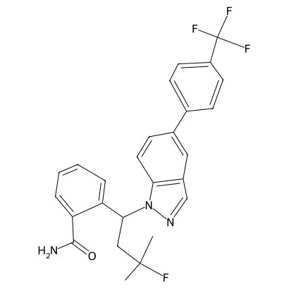 CC(C)(F)CC(c1ccccc1C(N)=O)n1ncc2cc(-c3ccc(C(F)(F)F)cc3)ccc21